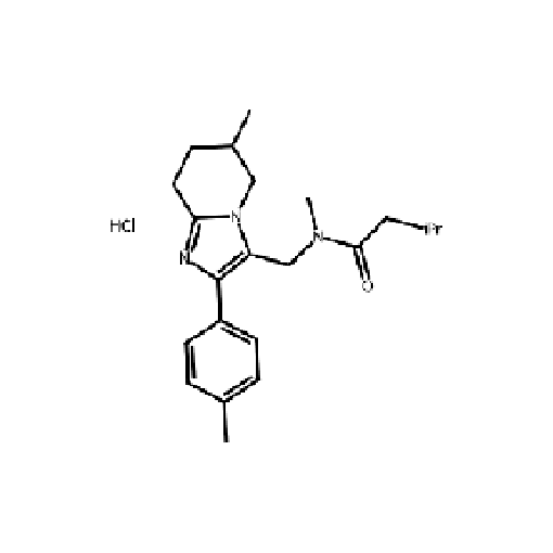 Cc1ccc(-c2nc3n(c2CN(C)C(=O)CC(C)C)CC(C)CC3)cc1.Cl